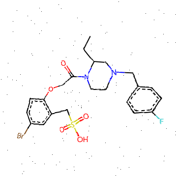 CCC1CN(Cc2ccc(F)cc2)CCN1C(=O)COc1ccc(Br)cc1CS(=O)(=O)O